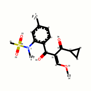 CCCN(c1cc(C(F)(F)F)ccc1C(=O)C(=COCC)C(=O)C1CC1)S(C)(=O)=O